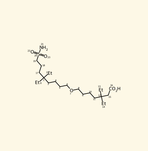 CCC(CC)(CCCCOCCCCC(CC)(CC)CC(=O)O)CCCS(N)(=O)=O